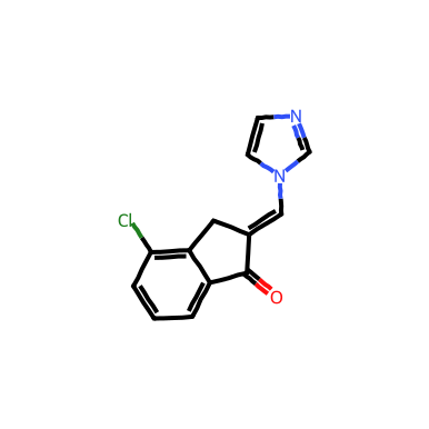 O=C1/C(=C/n2ccnc2)Cc2c(Cl)cccc21